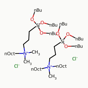 CCCCCCCC[N+](C)(C)CCC[Si](OCCCC)(OCCCC)OCCCC.CCCCCCCC[N+](C)(CCCCCCCC)CCC[Si](OCCCC)(OCCCC)OCCCC.[Cl-].[Cl-]